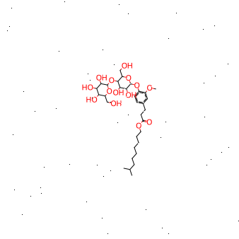 COc1cc(CCC(=O)OCCCCCCCC(C)C)ccc1OC1OC(CO)C(OC2OC(CO)C(O)C(O)C2O)C(O)C1O